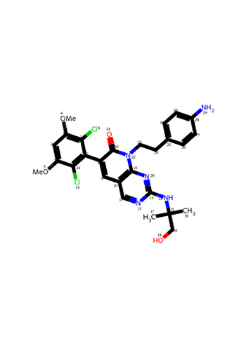 COc1cc(OC)c(Cl)c(-c2cc3cnc(NC(C)(C)CO)nc3n(CCc3ccc(N)cc3)c2=O)c1Cl